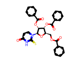 O=C(OC[C@H]1O[C@@H](n2ccc(=O)[nH]c2=S)[C@H](OC(=O)c2ccccc2)[C@@H]1OC(=O)c1ccccc1)c1ccccc1